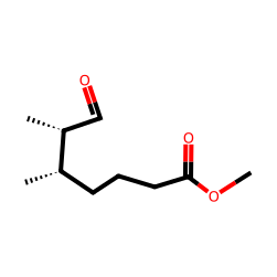 COC(=O)CCC[C@H](C)[C@H](C)C=O